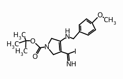 COc1ccc(CNC2=C(C(=N)I)CN(C(=O)OC(C)(C)C)C2)cc1